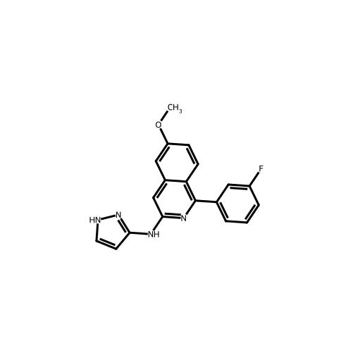 COc1ccc2c(-c3cccc(F)c3)nc(Nc3cc[nH]n3)cc2c1